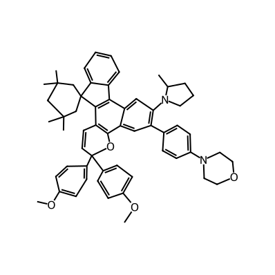 COc1ccc(C2(c3ccc(OC)cc3)C=Cc3c4c(c5cc(N6CCCC6C)c(-c6ccc(N7CCOCC7)cc6)cc5c3O2)-c2ccccc2C42CC(C)(C)CC(C)(C)C2)cc1